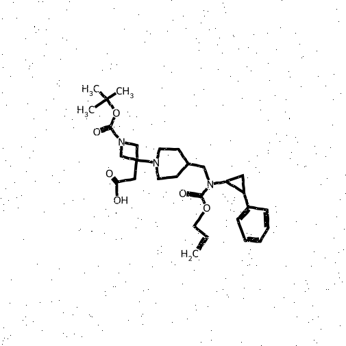 C=CCOC(=O)N(CC1CCN(C2(CC(=O)O)CN(C(=O)OC(C)(C)C)C2)CC1)C1CC1c1ccccc1